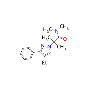 CCc1cn(C(C)(C)C(=O)N(C)C)nc1-c1ccccc1